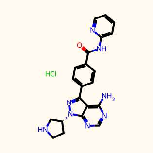 Cl.Nc1ncnc2c1c(-c1ccc(C(=O)Nc3ccccn3)cc1)nn2[C@@H]1CCNC1